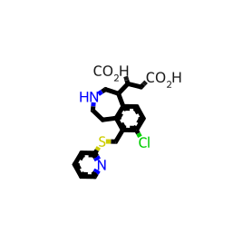 O=C(O)CC(C(=O)O)C1CNCCc2c1ccc(Cl)c2CSc1ccccn1